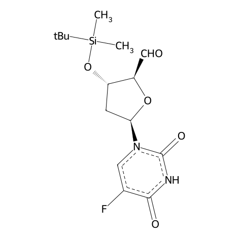 CC(C)(C)[Si](C)(C)O[C@H]1C[C@H](n2cc(F)c(=O)[nH]c2=O)O[C@@H]1C=O